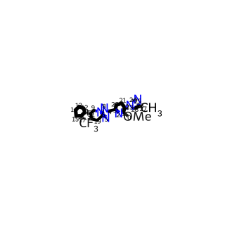 COc1nc(-c2nc3n(n2)C[C@@H](c2ccccc2C(F)(F)F)CC3)ccc1-n1cnc(C)c1